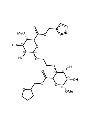 CO[C@@H]1OC(C(=O)OCC2CCCO2)[C@@H](OCCO[C@@H]2OC(C(=O)OCc3ccco3)[C@@H](OC)[C@H](O)[C@@H]2O)[C@H](O)[C@@H]1O